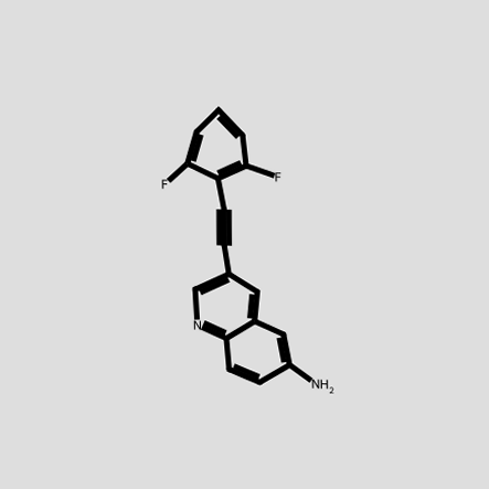 Nc1ccc2ncc(C#Cc3c(F)cccc3F)cc2c1